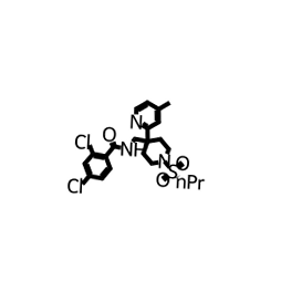 CCCS(=O)(=O)N1CCC(CNC(=O)c2ccc(Cl)cc2Cl)(c2cc(C)ccn2)CC1